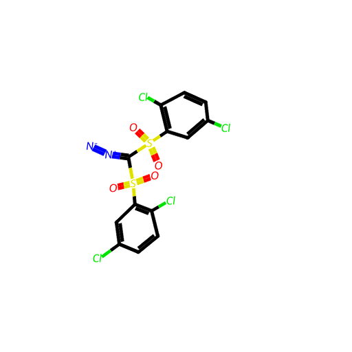 [N-]=[N+]=C(S(=O)(=O)c1cc(Cl)ccc1Cl)S(=O)(=O)c1cc(Cl)ccc1Cl